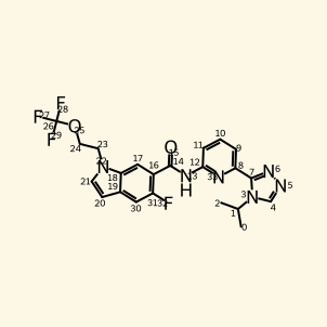 CC(C)n1cnnc1-c1cccc(NC(=O)c2cc3c(ccn3CCOC(F)(F)F)cc2F)n1